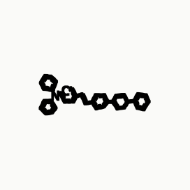 C1=CC(c2ccccc2)CC=C1c1ccc(/C=C/c2ccc(N(c3ccccc3)c3ccccc3)cc2)cc1